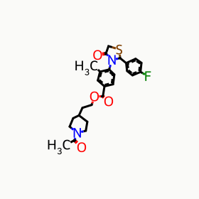 CC(=O)N1CCC(CCOC(=O)c2ccc(N3C(=O)CSC3c3ccc(F)cc3)c(C)c2)CC1